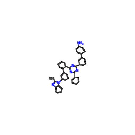 CC(C)(C)c1nc2ccccc2n1-c1cccc(-c2ccccc2-c2nc(-c3ccccc3)nc(-c3cccc(-c4ccc(N)cc4)c3)n2)c1